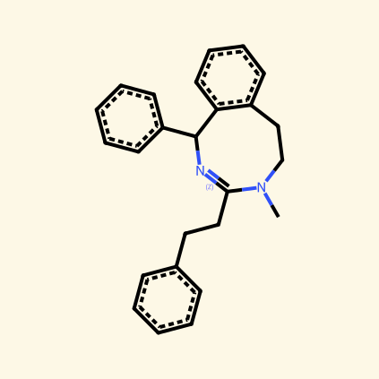 CN1CCc2ccccc2C(c2ccccc2)/N=C\1CCc1ccccc1